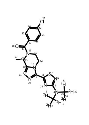 [2H]C([2H])([2H])N(c1nsc(-c2nnc3n2CCN(C(=O)c2ccc(Cl)cc2)[C@@H]3C)n1)C([2H])([2H])[2H]